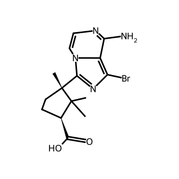 CC1(C)[C@@H](C(=O)O)CC[C@]1(C)c1nc(Br)c2c(N)nccn12